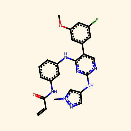 C=CC(=O)Nc1cccc(Nc2nc(Nc3cnn(C)c3)ncc2-c2cc(F)cc(OC)c2)c1